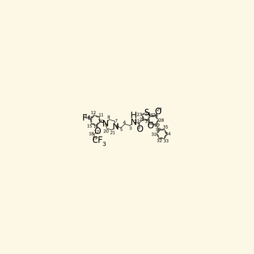 O=C(NCCCN1CCN(c2ccc(F)cc2OCC(F)(F)F)CC1)c1csc2c(=O)cc(-c3ccccc3)oc12